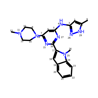 Cc1cc(Nc2cc(N3CCN(C)CC3)nc(-c3cc4ccccc4n3C)n2)n[nH]1